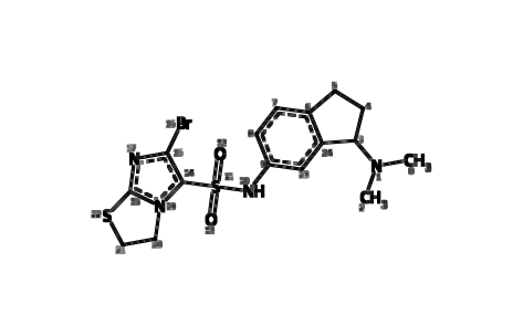 CN(C)C1CCc2ccc(NS(=O)(=O)c3c(Br)nc4n3CCS4)cc21